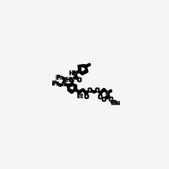 CC[C@@H](CC(=O)OCOC(=O)CN(C)C(=O)OC(C)(C)C)c1ccc(N(CC(C)C)CC(C)C)c(NC(=O)Nc2ccc(C)cc2)c1